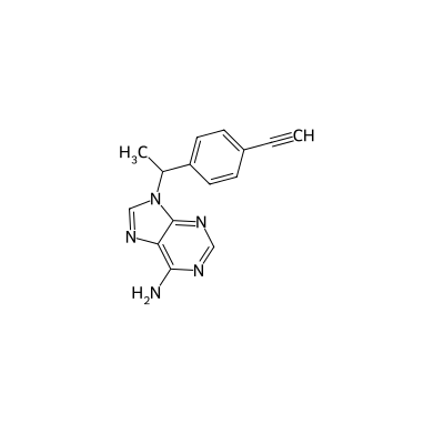 C#Cc1ccc(C(C)n2cnc3c(N)ncnc32)cc1